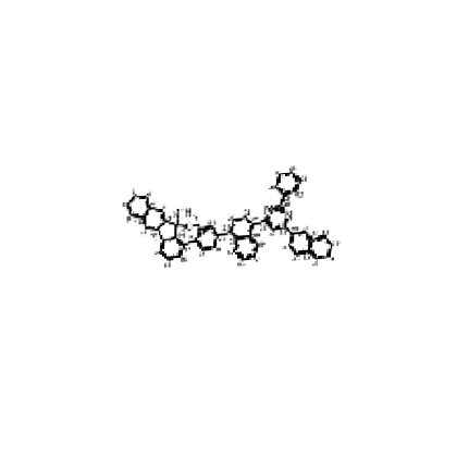 CC1(C)c2cc3ccccc3cc2-c2cccc(-c3ccc(-c4ccc(-c5cc(-c6ccc7ccccc7c6)nc(-c6ccccc6)n5)c5ccccc45)cc3)c21